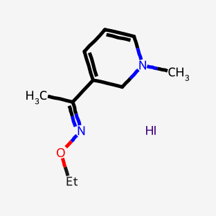 CCON=C(C)C1=CC=CN(C)C1.I